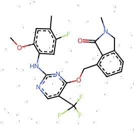 COc1cc(C)c(F)cc1Nc1ncc(C(F)(F)F)c(OCc2cccc3c2C(=O)N(C)C3)n1